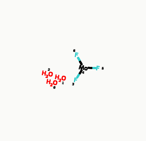 O.O.O.[F][Mo]([F])[F]